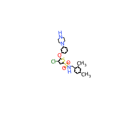 Cc1ccc(CNS(=O)(=O)c2cc(Cl)c(Oc3cccc(N4CCNCC4)c3)s2)c(C)c1